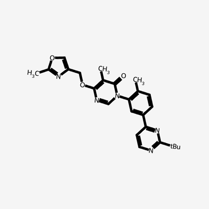 Cc1nc(COc2ncn(-c3cc(-c4ccnc(C(C)(C)C)n4)ccc3C)c(=O)c2C)co1